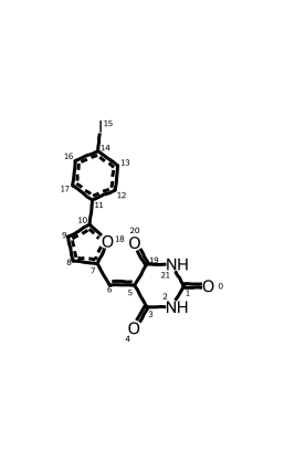 O=C1NC(=O)C(=Cc2ccc(-c3ccc(I)cc3)o2)C(=O)N1